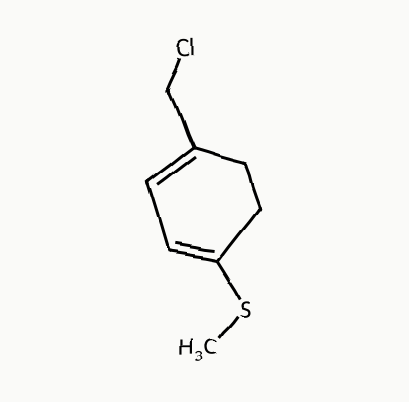 CSC1=CC=C(CCl)CC1